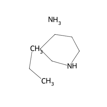 C1CCNCC1.CCC.N